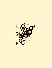 CCC(=O)OCC(=O)[C@@]1(OC(=O)CC)[C@@H](C)C[C@H]2[C@@H]3CCC4=CC(=O)C=C[C@]4(C)C3(Cl)[C@@H](OC(=O)C(C)O)C[C@@]21C